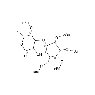 CCCCOCC1O[C@H](OC2C(O)[C@H](O)OC(C)[C@@H]2OCCCC)C(OCCCC)C(OCCCC)[C@@H]1OCCCC